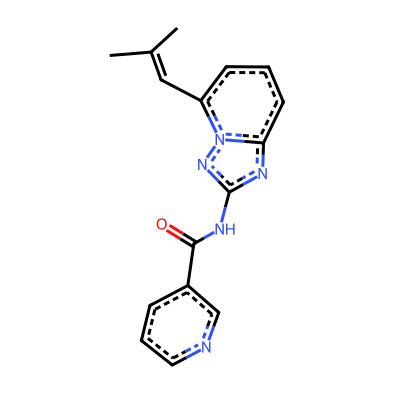 CC(C)=Cc1cccc2nc(NC(=O)c3cccnc3)nn12